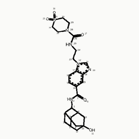 O=C(NC1C2CC3CC1CC(O)(C3)C2)c1ccc2c(c1)ncn2CCNC(=O)N1CCS(=O)(=O)CC1